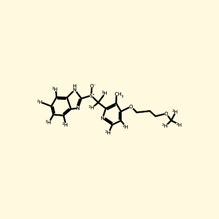 [2H]c1nc(C([2H])([2H])[S+]([O-])c2nc3c([2H])c([2H])c([2H])c([2H])c3[nH]2)c(C)c(OCCCOC([2H])([2H])[2H])c1[2H]